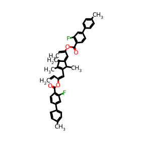 C=C/C(=C\C1=C(C)C(=C)/C(=C\C(=C/C)OC(=O)c2ccc(-c3ccc(C)cc3)cc2F)C1C)OC(=O)c1ccc(-c2ccc(C)cc2)cc1F